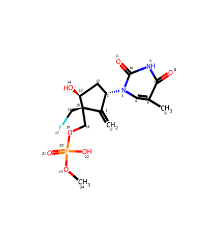 C=C1[C@@H](n2cc(C)c(=O)[nH]c2=O)C[C@H](O)[C@@]1(CF)COP(=O)(O)OC